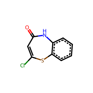 O=C1C=C(Cl)Sc2ccccc2N1